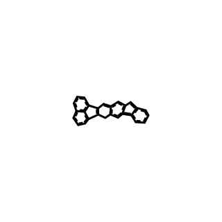 C1=c2cc3c(cc2CC2=C1c1cccc4cccc2c14)=c1ccccc1=C3